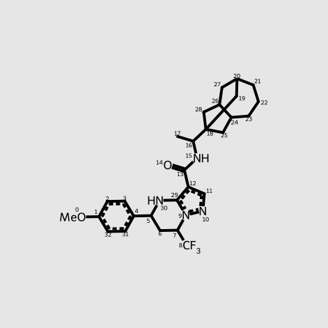 COc1ccc(C2CC(C(F)(F)F)n3ncc(C(=O)NC(C)C45CC6CCCC(C4)C(C6)C5)c3N2)cc1